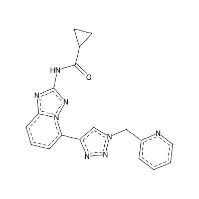 O=C(Nc1nc2cccc(-c3cn(Cc4ccccn4)nn3)n2n1)C1CC1